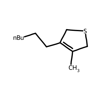 CCCCCCC1=C(C)CSC1